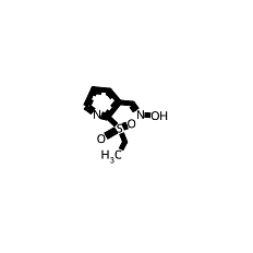 CCS(=O)(=O)c1ncccc1C=NO